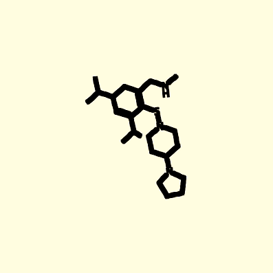 CNCC1=C(SN2CCC(N3CCCC3)CC2)C(C(C)C)=CC(C(C)C)C1